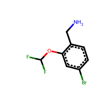 NCc1ccc(Br)cc1OC(F)F